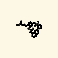 CC(C(=O)Nc1cc(CS(=O)(=O)c2ccccc2)ccc1CCCC(=O)O)c1cccc2ccccc12